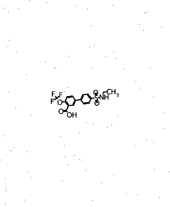 CCNS(=O)(=O)c1ccc(-c2ccc(OC(F)(F)F)c(C(=O)O)c2)cc1